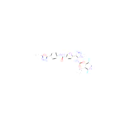 Cc1nnc(-c2ccc(NC(=O)c3ccc(-c4nnn(C)c4NC(=O)O[C@H](C)c4cc(F)cnc4F)nc3)cc2)o1